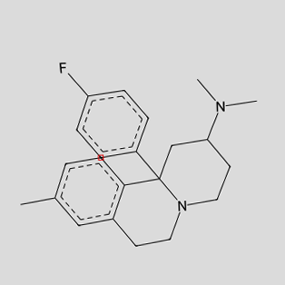 Cc1ccc2c(c1)CCN1CCC(N(C)C)CC21c1ccc(F)cc1